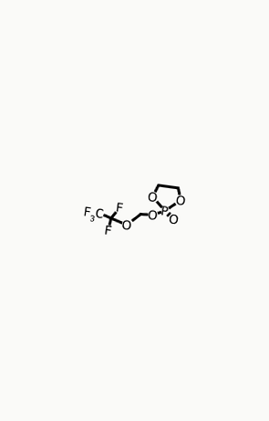 O=P1(OCOC(F)(F)C(F)(F)F)OCCO1